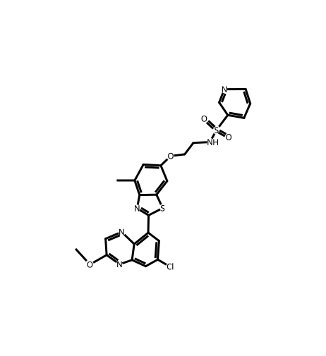 COc1cnc2c(-c3nc4c(C)cc(OCCNS(=O)(=O)c5cccnc5)cc4s3)cc(Cl)cc2n1